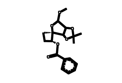 COC1O[C@@]2(CC[C@H]2OC(=O)c2ccccc2)C2OC(C)(C)OC12